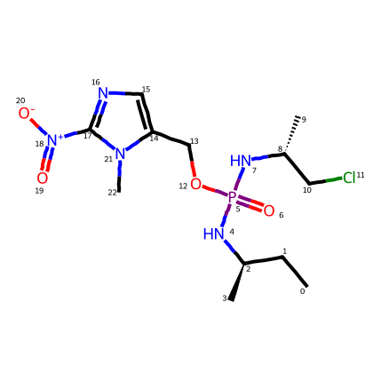 CC[C@@H](C)NP(=O)(N[C@H](C)CCl)OCc1cnc([N+](=O)[O-])n1C